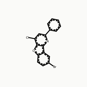 Clc1cc(-c2ccccc2)nc2c1oc1ccc(Br)cc12